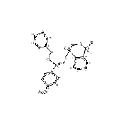 CC(=O)Oc1ccc(C(=O)OCc2ccccc2)cc1.CC1(C)CCC(C)(C)c2ccccc21